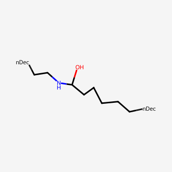 CCCCCCCCCCCCCCCC(O)NCCCCCCCCCCCC